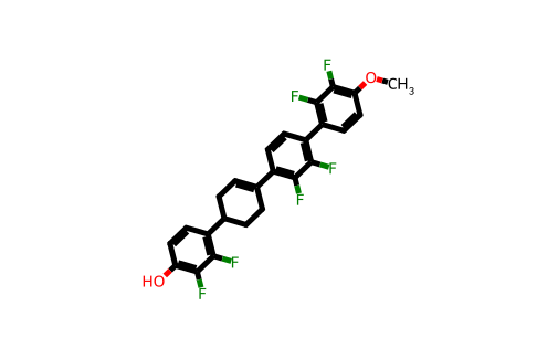 COc1ccc(-c2ccc(C3=CCC(c4ccc(O)c(F)c4F)CC3)c(F)c2F)c(F)c1F